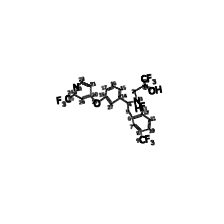 O[C@H](CNC(Cc1cc(C(F)(F)F)ccc1F)c1cccc(Oc2ccnc(C(F)(F)F)c2)c1)C(F)(F)F